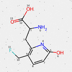 NC(Cc1nc(O)ccc1CF)C(=O)O